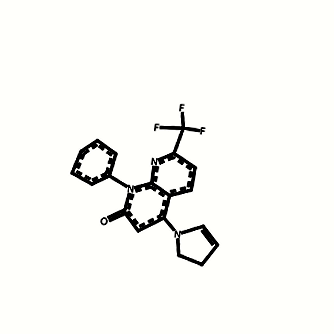 O=c1cc(N2C=CCC2)c2ccc(C(F)(F)F)nc2n1-c1ccccc1